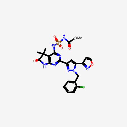 COC(=O)NS(=O)(=O)Nc1nc(-c2cc(-c3ccon3)n(Cc3ccccc3F)n2)nc2c1C(C)(C)C(=O)N2